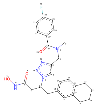 CN(Cc1cn(C(CC(=O)NO)Cc2ccc3c(c2)CCCC3)nn1)C(=O)c1ccc(F)cc1